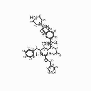 CC(C)CN(CC(O)C(Cc1ccccc1)NC(=O)OCc1cncs1)S(=O)(=O)c1ccc2nc(N3CCNCC3)oc2c1